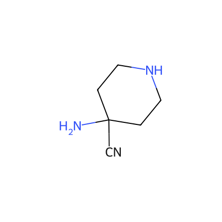 N#CC1(N)CCNCC1